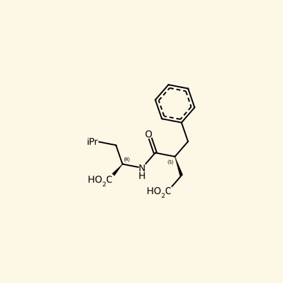 CC(C)C[C@@H](NC(=O)[C@H](CC(=O)O)Cc1ccccc1)C(=O)O